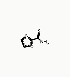 NC(=S)c1nccs1